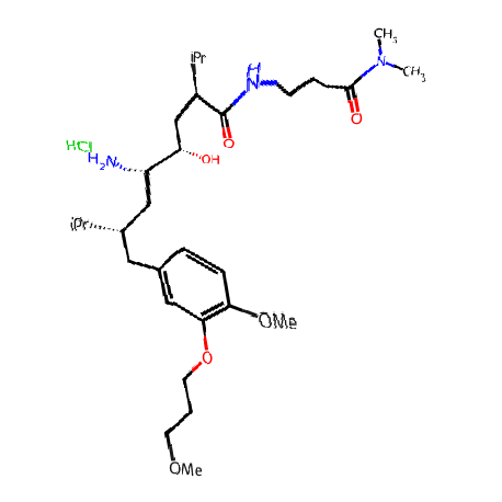 COCCCOc1cc(C[C@@H](C[C@H](N)[C@@H](O)C[C@H](C(=O)NCCC(=O)N(C)C)C(C)C)C(C)C)ccc1OC.Cl